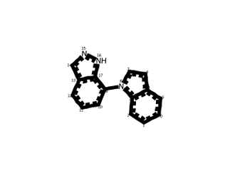 [c]1ccc2c(c1)ccn2-c1cccc2cn[nH]c12